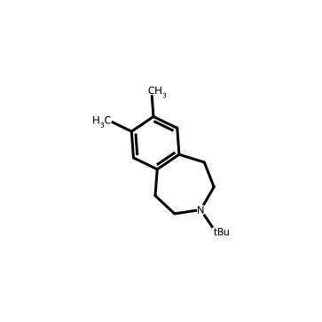 Cc1cc2c(cc1C)CCN(C(C)(C)C)CC2